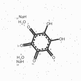 O.O.O=c1c(O)c(O)c(=O)c(=O)c1=O.[NaH].[NaH]